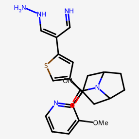 COc1cccnc1C1(N=O)CC2CCC(C1)N2C(=O)c1csc(/C(C=N)=C/NN)c1